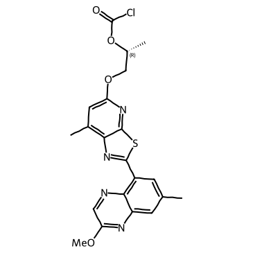 COc1cnc2c(-c3nc4c(C)cc(OC[C@@H](C)OC(=O)Cl)nc4s3)cc(C)cc2n1